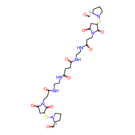 O=C[C@@H]1CCCN1SC1CC(=O)N(CCC(=O)NCCNC(=O)CCC(=O)NCCNC(=O)CCN2C(=O)CC(SN3CCC[C@H]3C=O)C2=O)C1=O